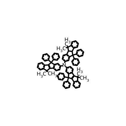 CC1(C)C2=C(c3ccccc31)C(c1ccccc1)(c1ccccc1)c1cc(N(c3ccc4c(c3)C(c3ccccc3)(c3ccccc3)C3=C4C(C)(C)c4ccccc43)c3ccc4c(c3)C(c3ccccc3)(c3ccccc3)C3c5ccccc5C(C)(C)C43)ccc12